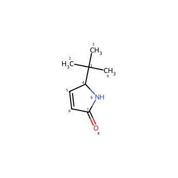 CC(C)(C)C1C=CC(=O)N1